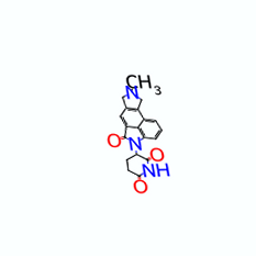 CN1Cc2cc3c4c(cccc4c2C1)N(C1CCC(=O)NC1=O)C3=O